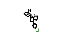 CCC1(c2ccc(-c3ccc(Cl)cc3)c3ccccc23)CC2CC[C@@H](C2)C1